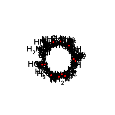 CCCC[C@@H]1NC(=O)[C@H](Cc2cnc[nH]2)NC(=O)[C@@H]2CCCN2C(=O)[C@H](CC(N)=O)NC(=O)[C@H](C)N(C)C(=O)[C@H](Cc2ccc(O)cc2)NC(=O)CSC[C@@H](C(=O)NCC(N)=O)NC(=O)[C@H](CCCNC(=N)N)NC(=O)[C@H](CCCC)N(C)C(=O)[C@H](CCCC)N(C)C(=O)[C@H](Cc2csc3ccccc23)NC(=O)[C@H](CO)NC(=O)[C@H](Cc2c[nH]c3ccccc23)NC(=O)[C@@H]2CCCN2C1=O